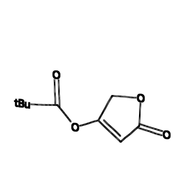 CC(C)(C)C(=O)OC1=CC(=O)OC1